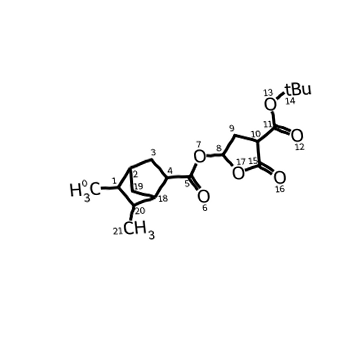 CC1C2CC(C(=O)OC3CC(C(=O)OC(C)(C)C)C(=O)O3)C(C2)C1C